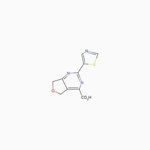 O=C(O)c1nc(-c2cncs2)nc2c1COC2